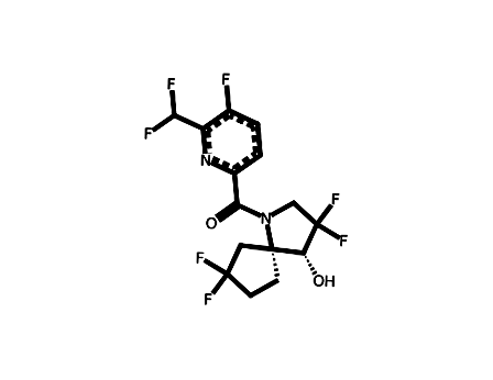 O=C(c1ccc(F)c(C(F)F)n1)N1CC(F)(F)[C@H](O)[C@]12CCC(F)(F)C2